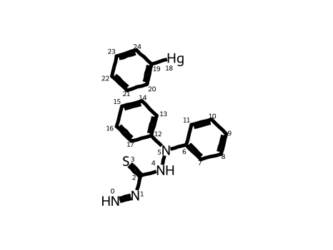 N=NC(=S)NN(c1ccccc1)c1ccccc1.[Hg][c]1ccccc1